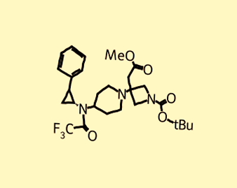 COC(=O)CC1(N2CCC(N(C(=O)C(F)(F)F)[C@@H]3CC3c3ccccc3)CC2)CN(C(=O)OC(C)(C)C)C1